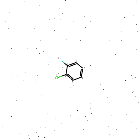 Fc1cc[c]cc1Cl